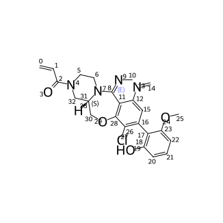 C=CC(=O)N1CCN2/C(=N/C)c3c(N=C)cc(-c4c(O)cccc4OC)c(Cl)c3OC[C@@H]2C1